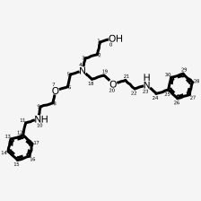 OCCCN(CCOCCNCc1ccccc1)CCOCCNCc1ccccc1